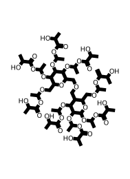 C=C(OC(C)OCC1OC(OC(C)OC(=O)C(C)O)C(OC(C)OC(=O)C(C)O)C(OC(C)OC(=O)C(C)O)C1COCC1OC(COC(C)OC(=O)C(C)O)C(OC(C)OC(=O)C(C)O)C(OC(C)OC(=O)C(C)O)C1OC(C)OC(=O)C(C)O)C(C)O